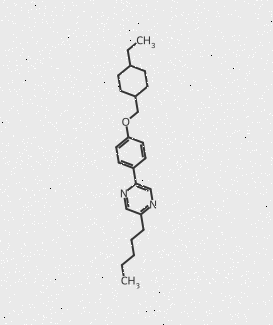 CCCCCc1cnc(-c2ccc(OCC3CCC(CC)CC3)cc2)cn1